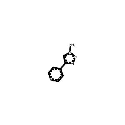 Nn1cc(-c2ccncc2)nn1